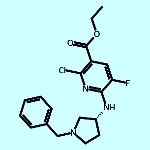 CCOC(=O)c1cc(F)c(N[C@@H]2CCN(Cc3ccccc3)C2)nc1Cl